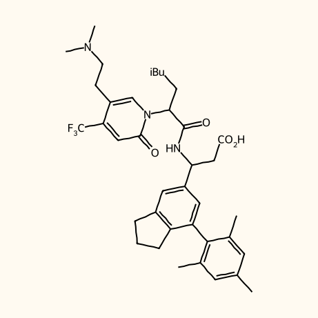 CCC(C)CC(C(=O)NC(CC(=O)O)c1cc2c(c(-c3c(C)cc(C)cc3C)c1)CCC2)n1cc(CCN(C)C)c(C(F)(F)F)cc1=O